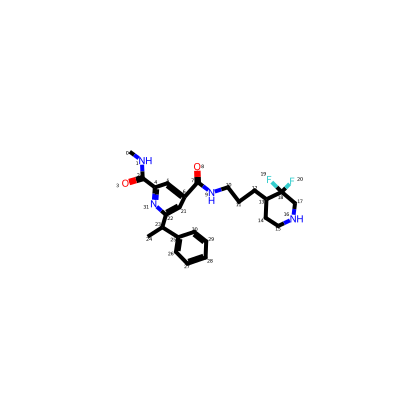 CNC(=O)c1cc(C(=O)NCCCC2CCNCC2(F)F)cc(C(C)c2ccccc2)n1